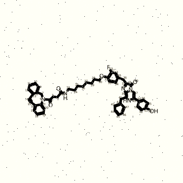 O=C(CCC(=O)N1Cc2ccccc2C#Cc2ccccc21)NCCCCCCCCOc1ccc(Cc2nc3c(Cc4ccccc4)[nH]c(-c4ccc(O)cc4)cn-3c2=O)cc1F